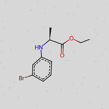 CCOC(=O)[C@H](C)Nc1cccc(Br)c1